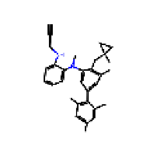 C#CCNc1ccccc1N(C)c1cc(-c2c(C)cc(C)cc2C)cc(C)c1CC1(C)CC1